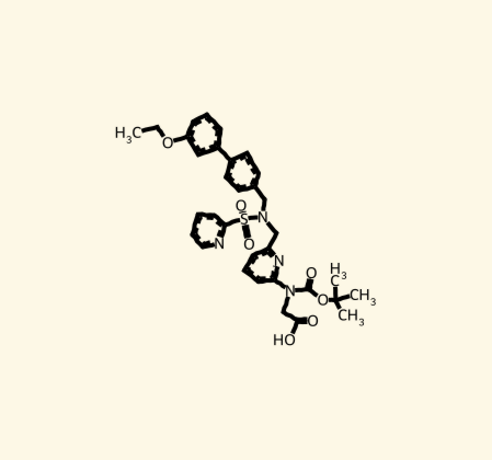 CCOc1cccc(-c2ccc(CN(Cc3cccc(N(CC(=O)O)C(=O)OC(C)(C)C)n3)S(=O)(=O)c3ccccn3)cc2)c1